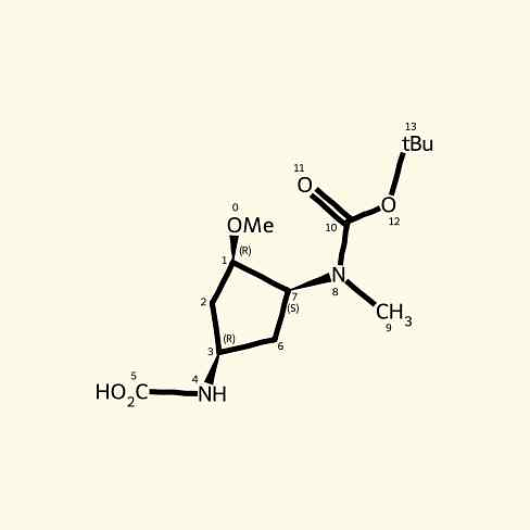 CO[C@@H]1C[C@H](NC(=O)O)C[C@@H]1N(C)C(=O)OC(C)(C)C